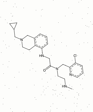 CNCCN(Cc1ncccc1Cl)C(=O)CNc1cccc2c1CCN(CC1CC1)C2